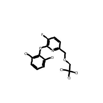 Fc1ccc(COCC(Cl)(Cl)Cl)nc1Oc1c(Cl)cccc1Cl